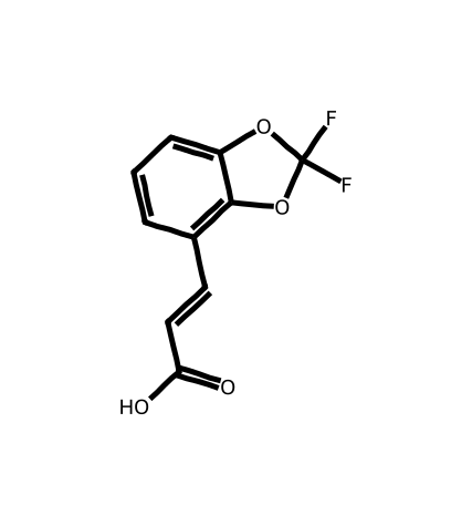 O=C(O)C=Cc1cccc2c1OC(F)(F)O2